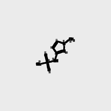 Cn1ccc(NS(=O)(=O)C(C)(C)C)n1